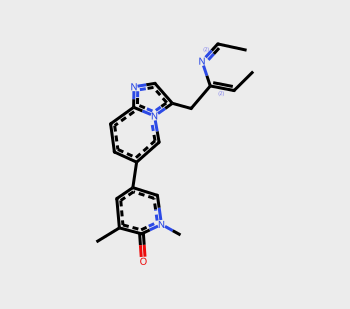 C/C=N\C(=C/C)Cc1cnc2ccc(-c3cc(C)c(=O)n(C)c3)cn12